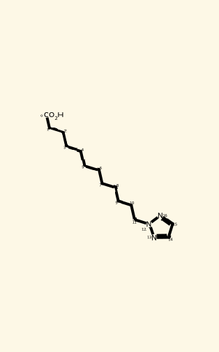 O=C(O)CCCCCCCCCCCn1nccn1